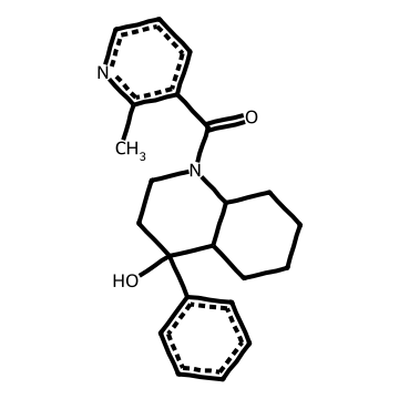 Cc1ncccc1C(=O)N1CCC(O)(c2ccccc2)C2CCCCC21